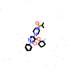 CC(C)[S@@+]([O-])N1CCN(c2cnn(-c3ccccc3)c(=O)c2O[C@H]2CCCC[C@H]2C)CC1